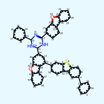 c1ccc(-c2ccc3sc4cc(-c5cc(C6NC(c7ccc8c(c7)oc7ccccc78)=NC(c7ccccc7)N6)cc6oc7ccccc7c56)ccc4c3c2)cc1